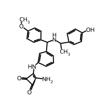 COc1ccc(C(NC(C)c2ccc(O)cc2)c2cccc(Nc3c(N)c(=O)c3=O)c2)cc1